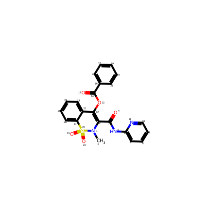 CN1C(C(=O)Nc2ccccn2)=C(OC(=O)c2ccccc2)c2ccccc2S1(=O)=O